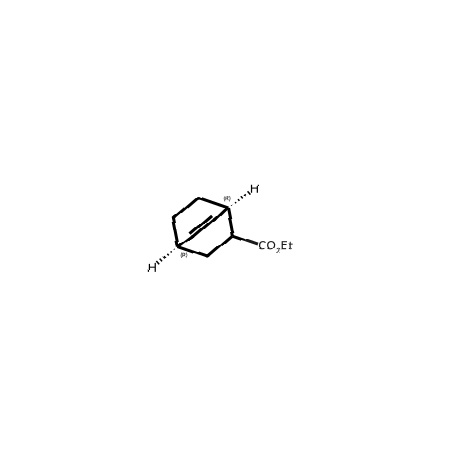 CCOC(=O)C1C[C@@H]2C=C[C@H]1CC2